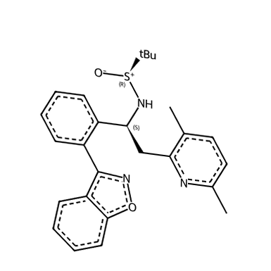 Cc1ccc(C)c(C[C@H](N[S@@+]([O-])C(C)(C)C)c2ccccc2-c2noc3ccccc23)n1